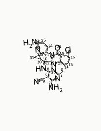 Cc1nc(N)c(C#N)c(N[C@H](c2nc3cccc(Cl)c3c(=O)n2-c2ccc(N)nc2)C2CC2)n1